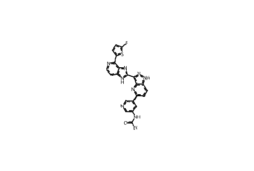 CCC(=O)Nc1cncc(-c2ccc3[nH]nc(-c4nc5c(-c6ccc(F)s6)nccc5[nH]4)c3n2)c1